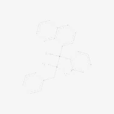 COc1ccccc1C(c1cccc2ccccc12)(C(C)(C)C)C(C#N)(Cc1ccccc1)C(=O)O